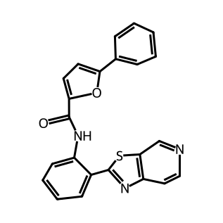 O=C(Nc1ccccc1-c1nc2ccncc2s1)c1ccc(-c2ccccc2)o1